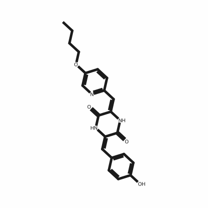 CCCCOc1ccc(/C=c2/[nH]c(=O)/c(=C\c3ccc(O)cc3)[nH]c2=O)nc1